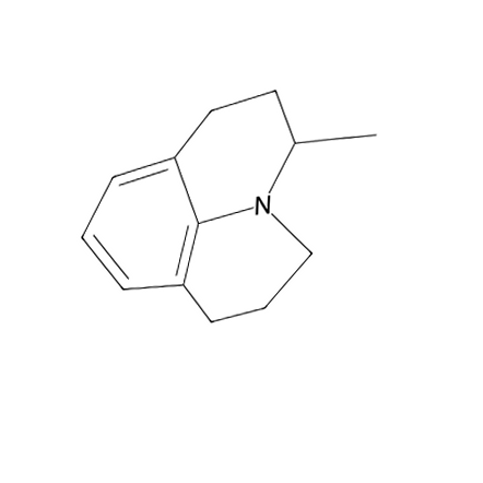 CC1CCc2cccc3c2N1CCC3